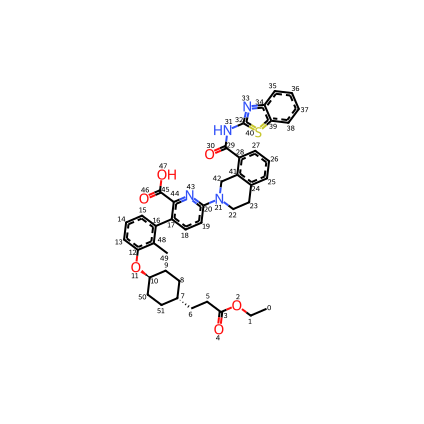 CCOC(=O)CC[C@H]1CC[C@H](Oc2cccc(-c3ccc(N4CCc5cccc(C(=O)Nc6nc7ccccc7s6)c5C4)nc3C(=O)O)c2C)CC1